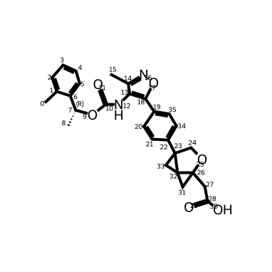 Cc1ccccc1[C@@H](C)OC(=O)Nc1c(C)noc1-c1ccc(C23COC4(CC(=O)O)CC42C3)cc1